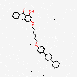 O=C(c1ccccc1)c1ccc(OCCCCCCOc2ccc(C3CCC(C4CCCCC4)CC3)cc2)cc1O